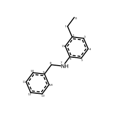 CCc1cccc(NCc2ccccc2)c1